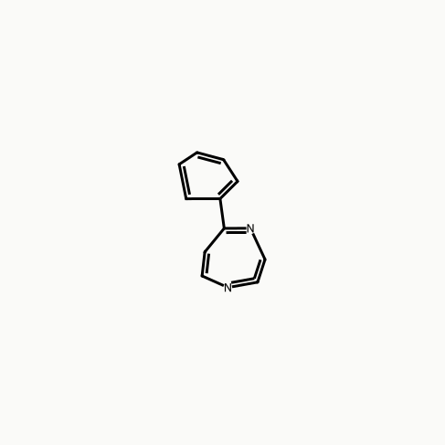 C1=CN=C(c2ccccc2)C=CN=1